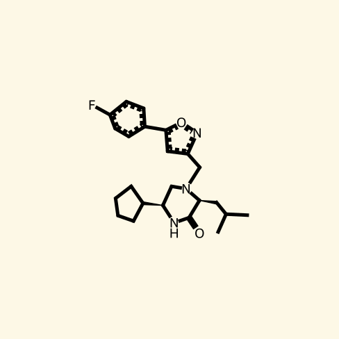 CC(C)C[C@H]1C(=O)N[C@@H](C2CCCC2)CN1Cc1cc(-c2ccc(F)cc2)on1